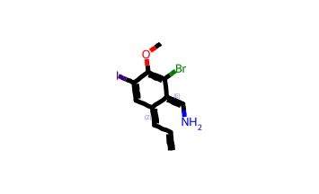 C=C/C=c1/cc(I)c(OC)c(Br)/c1=C/N